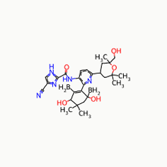 BC1=C(c2nc(C3CC(C)(C)OC(C)(CO)C3)ccc2NC(=O)c2nc(C#N)c[nH]2)C(B)(O)CC(C)(C)C1O